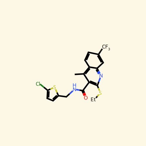 CCSc1nc2cc(C(F)(F)F)ccc2c(C)c1C(=O)NCc1ccc(Cl)s1